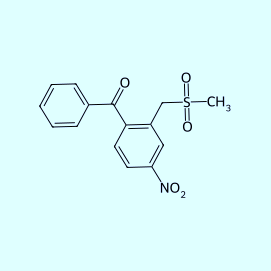 CS(=O)(=O)Cc1cc([N+](=O)[O-])ccc1C(=O)c1ccccc1